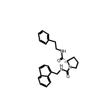 O=C(NCCc1ccccc1)[C@@H]1CCCN1C(=O)NCc1cccc2ccccc12